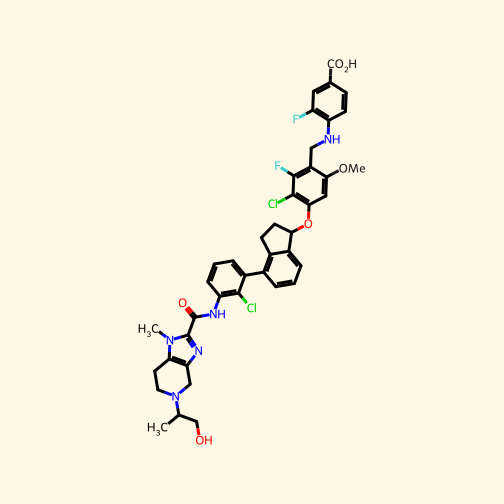 COc1cc(OC2CCc3c(-c4cccc(NC(=O)c5nc6c(n5C)CCN(C(C)CO)C6)c4Cl)cccc32)c(Cl)c(F)c1CNc1ccc(C(=O)O)cc1F